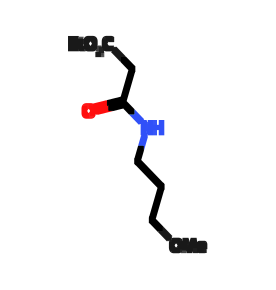 CCOC(=O)CC(=O)NCCCOC